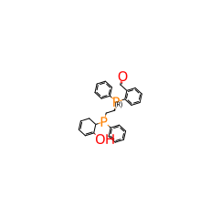 O=Cc1ccccc1[P@@](CCP(c1ccccc1)C1CC=CC=C1O)c1ccccc1